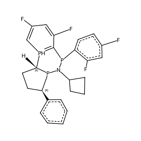 FC1=C[PH]2=C(C(F)=C1)P(c1ccc(F)cc1F)N(C1CCC1)P1[C@@H](c3ccccc3)CC[C@@H]12